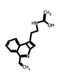 C=CC1=NC2C=C(CCNC(=C)O)C2c2ccccc21